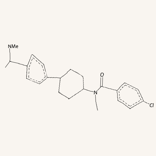 CNC(C)c1ccc(C2CCC(N(C)C(=O)c3ccc(Cl)cc3)CC2)cc1